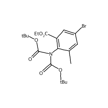 CCOC(=O)c1cc(Br)cc(C)c1N(C(=O)OC(C)(C)C)C(=O)OC(C)(C)C